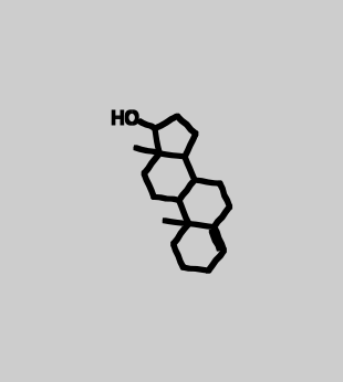 CC12CCCC=C1CCC1C2CCC2(C)C(O)CCC12